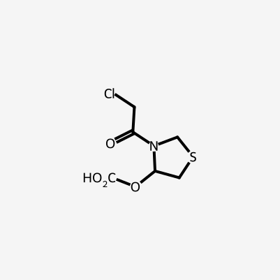 O=C(O)OC1CSCN1C(=O)CCl